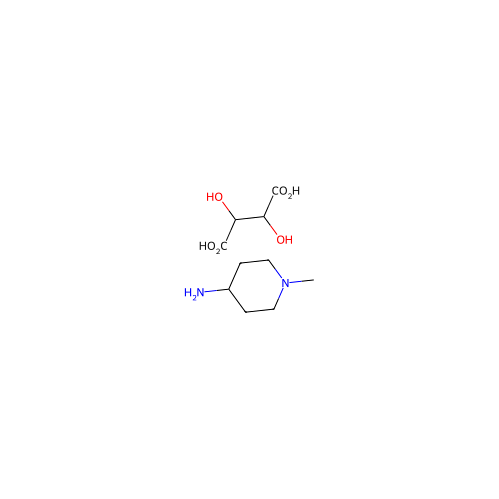 CN1CCC(N)CC1.O=C(O)C(O)C(O)C(=O)O